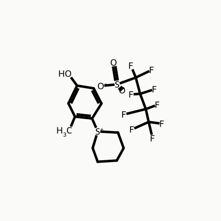 Cc1cc(O)ccc1[S+]1CCCCC1.O=S(=O)([O-])C(F)(F)C(F)(F)C(F)(F)C(F)(F)F